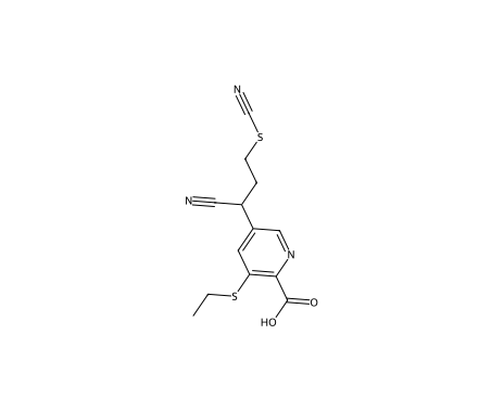 CCSc1cc(C(C#N)CCSC#N)cnc1C(=O)O